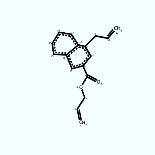 C=CCOC(=O)c1cc(CC=C)c2ccccc2c1